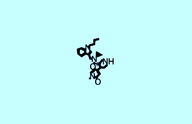 CCCCn1cc(CN(C(=O)[C@H]2CNCCC2c2ccn(C)c(=O)c2)C2CC2)c2ccccc21